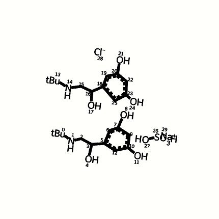 CC(C)(C)NCC(O)c1cc(O)cc(O)c1.CC(C)(C)NCC(O)c1cc(O)cc(O)c1.O=S(=O)(O)O.[Cl-].[Na+]